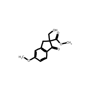 COC(=O)C1(CO)Cc2cc(OC)ccc2C1=O